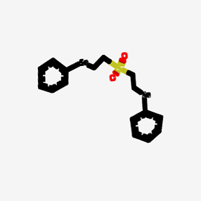 O=S(=O)(CC[Se]c1ccccc1)CC[Se]c1ccccc1